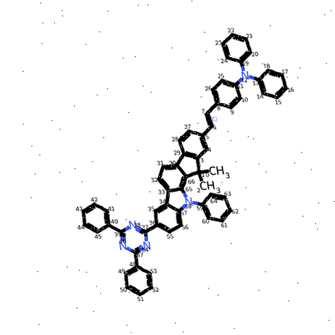 CC1(C)c2cc(/C=C/c3ccc(N(c4ccccc4)c4ccccc4)cc3)ccc2-c2ccc3c4cc(-c5nc(-c6ccccc6)nc(-c6ccccc6)n5)ccc4n(-c4ccccc4)c3c21